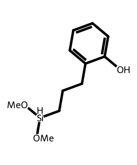 CO[SiH](CCCc1ccccc1O)OC